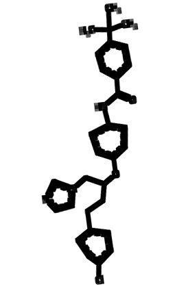 CC(C)(C)c1ccc(C(=O)Nc2ccc(OC(CCc3ccc(Cl)cc3)Cn3ccnc3)cc2)cc1